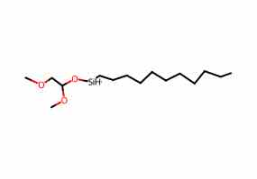 CCCCCCCCCCC[SiH]OC(COC)OC